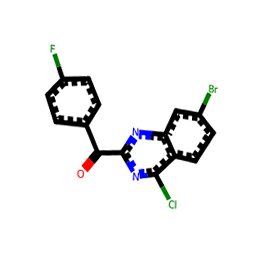 O=C(c1ccc(F)cc1)c1nc(Cl)c2ccc(Br)cc2n1